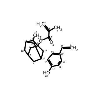 C=C(C)C(=O)OC12CC3CC(CC(C3)C1C)C2.C=Cc1ccc(O)cc1